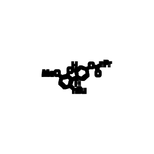 CCCCc1ccc(OC)c2c1[C@@H]1C=C[C@H](OC(=O)CCC)C[C@@H]1O2